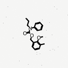 CCCN(C(=O)OCc1cccc(C)c1OC)c1ccccc1